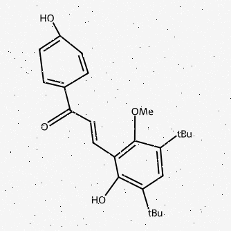 COc1c(C(C)(C)C)cc(C(C)(C)C)c(O)c1C=CC(=O)c1ccc(O)cc1